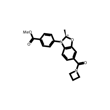 COC(=O)c1ccc(N2c3ccc(C(=O)N4CCC4)cc3O[C@@H]2C)cc1